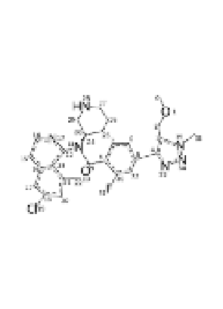 COCc1c(-c2ccc(C(=O)N(c3nccc4cc(Cl)cc(C)c34)[C@@H]3CCCNC3)c(F)c2)nnn1C